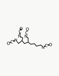 O=C=NCCCCC(CN=C=O)CC(CN=C=O)CN=C=O